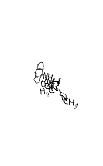 CN1CC(CN(C)S(=O)(=O)NC(=O)Nc2c3c(cc4c2CCC4)CCC3)C1